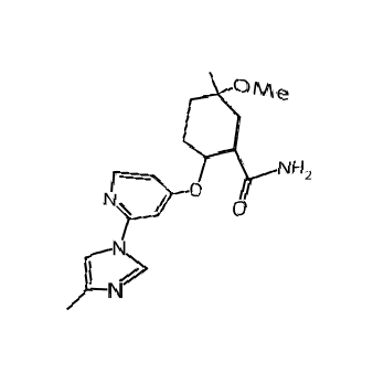 COC1(C)CCC(Oc2ccnc(-n3cnc(C)c3)c2)C(C(N)=O)C1